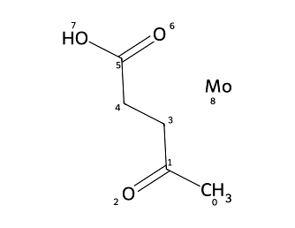 CC(=O)CCC(=O)O.[Mo]